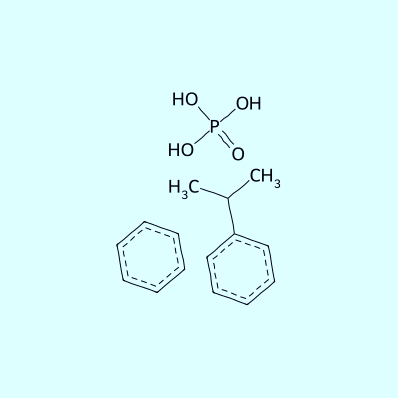 CC(C)c1ccccc1.O=P(O)(O)O.c1ccccc1